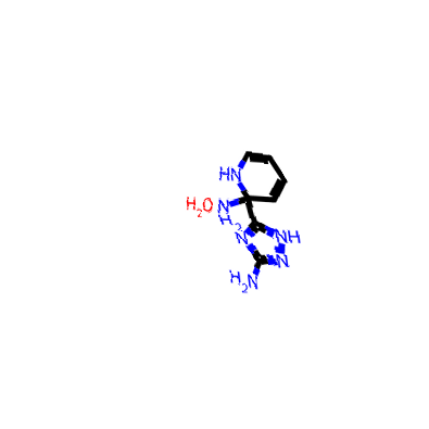 Nc1n[nH]c(C2(N)C=CC=CN2)n1.O